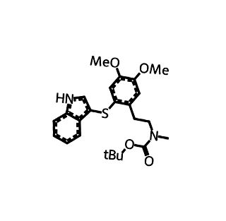 COc1cc(CCN(C)C(=O)OC(C)(C)C)c(Sc2c[nH]c3ccccc23)cc1OC